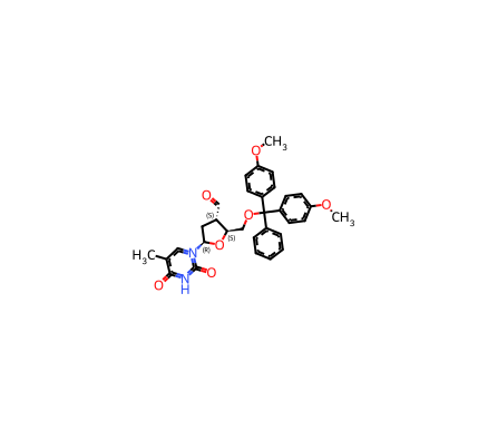 COc1ccc(C(OC[C@H]2O[C@@H](n3cc(C)c(=O)[nH]c3=O)C[C@@H]2C=O)(c2ccccc2)c2ccc(OC)cc2)cc1